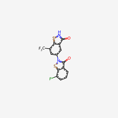 O=c1[nH]sc2c(C(F)(F)F)cc(-n3sc4c(F)cccc4c3=O)cc12